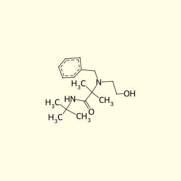 CC(C)(C)NC(=O)C(C)(C)N(CCO)Cc1ccccc1